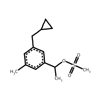 Cc1cc(CC2CC2)cc(C(C)OS(C)(=O)=O)c1